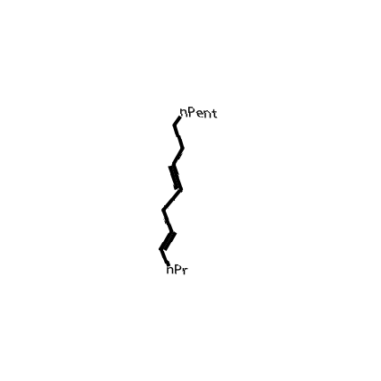 [CH2]CCC=CCC=CCCCCCC[CH2]